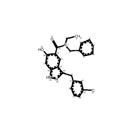 CCN(Cc1ccccc1)C(=O)c1cc2c(Cc3cccc(Cl)c3)n[nH]c2cc1O